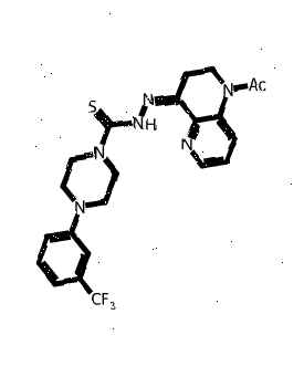 CC(=O)N1CC/C(=N/NC(=S)N2CCN(c3cccc(C(F)(F)F)c3)CC2)c2ncccc21